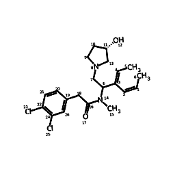 C/C=C\C(=C/C)C(CN1CC[C@H](O)C1)N(C)C(=O)Cc1ccc(Cl)c(Cl)c1